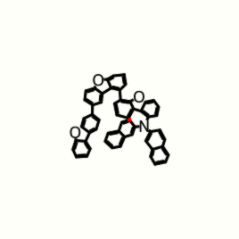 c1ccc2cc(N(c3ccc4ccccc4c3)c3cccc4oc5c(-c6cccc7oc8ccc(-c9ccc%10c(c9)oc9ccccc9%10)cc8c67)cccc5c34)ccc2c1